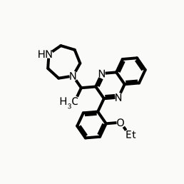 CCOc1ccccc1-c1nc2ccccc2nc1C(C)N1CCCNCC1